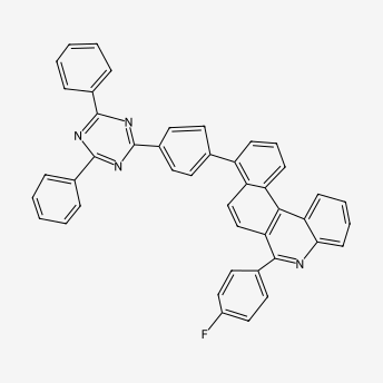 Fc1ccc(-c2nc3ccccc3c3c2ccc2c(-c4ccc(-c5nc(-c6ccccc6)nc(-c6ccccc6)n5)cc4)cccc23)cc1